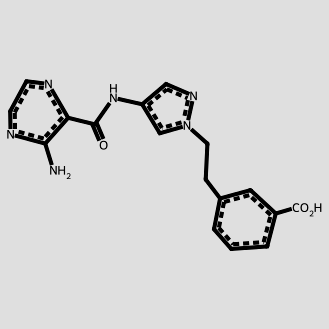 Nc1nccnc1C(=O)Nc1cnn(CCc2cccc(C(=O)O)c2)c1